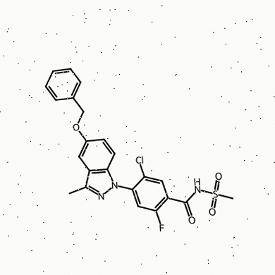 Cc1nn(-c2cc(F)c(C(=O)NS(C)(=O)=O)cc2Cl)c2ccc(OCc3ccccc3)cc12